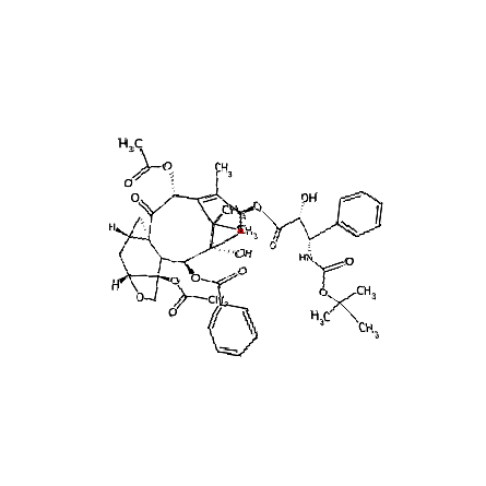 CC(=O)O[C@H]1C(=O)[C@]23C[C@H]2C[C@H]2OC[C@@]2(OC(C)=O)C3[C@H](OC(=O)c2ccccc2)[C@]2(O)C[C@H](OC(=O)[C@H](O)[C@@H](NC(=O)OC(C)(C)C)c3ccccc3)C(C)=C1C2(C)C